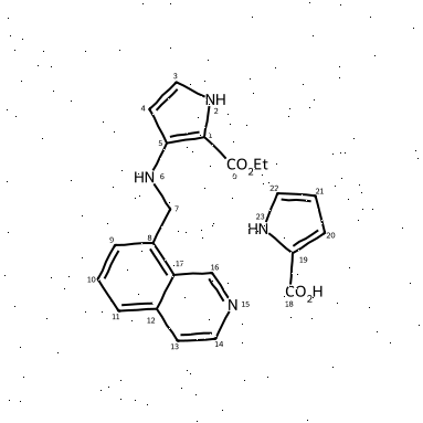 CCOC(=O)c1[nH]ccc1NCc1cccc2ccncc12.O=C(O)c1ccc[nH]1